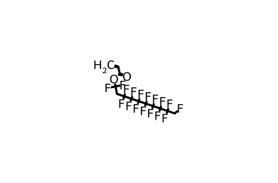 C=CC(=O)OC(F)(F)CC(F)(F)C(F)(F)C(F)(F)C(F)(F)C(F)(F)C(F)(F)C(F)(F)CF